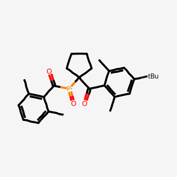 Cc1cccc(C)c1C(=O)[P](=O)C1(C(=O)c2c(C)cc(C(C)(C)C)cc2C)CCCC1